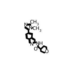 Cc1ncc(-c2ccc3cnc(NC(=O)C4CCOCC4)cc3c2)n1C